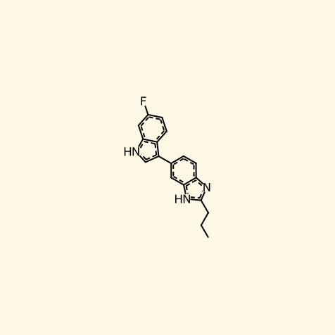 CCCc1nc2ccc(-c3c[nH]c4cc(F)ccc34)cc2[nH]1